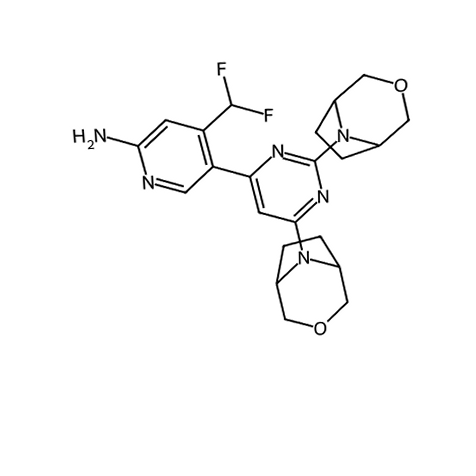 Nc1cc(C(F)F)c(-c2cc(N3C4CCC3COC4)nc(N3C4CCC3COC4)n2)cn1